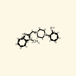 Cn1c(CN2CCN(c3ccccc3F)CC2)nc2ccccc21